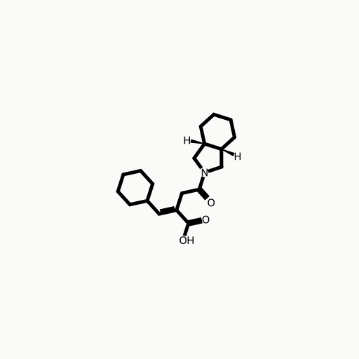 O=C(O)/C(=C/C1CCCCC1)CC(=O)N1C[C@H]2CCCC[C@H]2C1